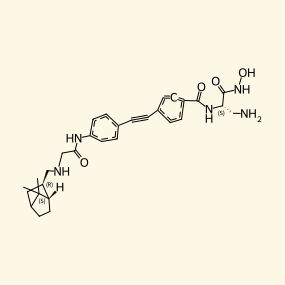 CC1(C)C2CC[C@H]1[C@H](CNCC(=O)Nc1ccc(C#Cc3ccc(C(=O)N[C@@H](CN)C(=O)NO)cc3)cc1)C2